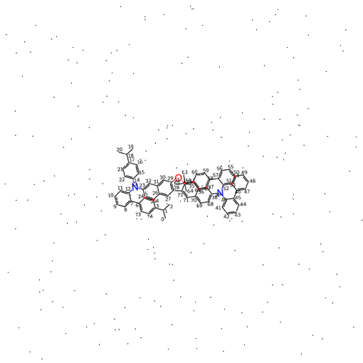 CC(C)c1ccc(-c2ccccc2N(c2ccc(C(C)C)cc2)c2ccc3cc4c(cc3c2)oc2cc3cc(N(c5ccccc5-c5ccccc5)c5ccccc5-c5ccc(C(C)(C)C)cc5)ccc3cc24)cc1